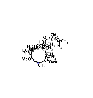 C=C1NC2C[C@H](O1)[C@@H](C)[C@@H]1OC1(C)[C@@H](OC(=C)C(C)N(C)C(=O)CCC(C)(C)SSCC(C)N)CC(=O)N(C)c1cc(cc(OC)c1C)C/C(C)=C/C=C/[C@H]2OC